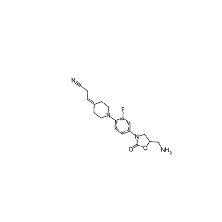 N#CCC=C1CCN(c2ccc(N3CC(CN)OC3=O)cc2F)CC1